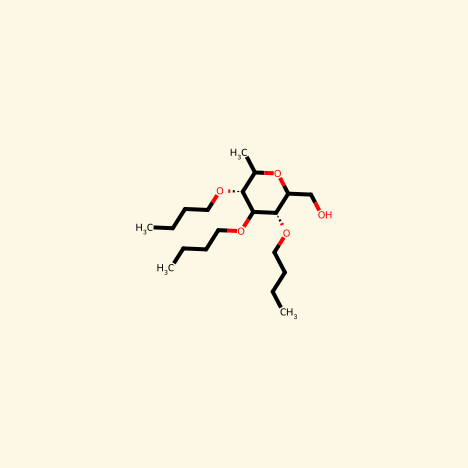 CCCCOC1[C@H](OCCCC)C(C)OC(CO)[C@@H]1OCCCC